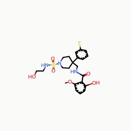 COc1cccc(O)c1C(=O)NCC1(c2cccc(F)c2)CCN(S(=O)(=O)NCCO)CC1